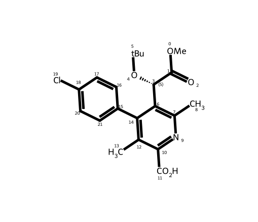 COC(=O)[C@@H](OC(C)(C)C)c1c(C)nc(C(=O)O)c(C)c1-c1ccc(Cl)cc1